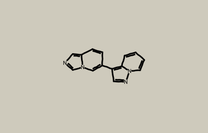 c1ccn2ncc(-c3ccc4cncn4c3)c2c1